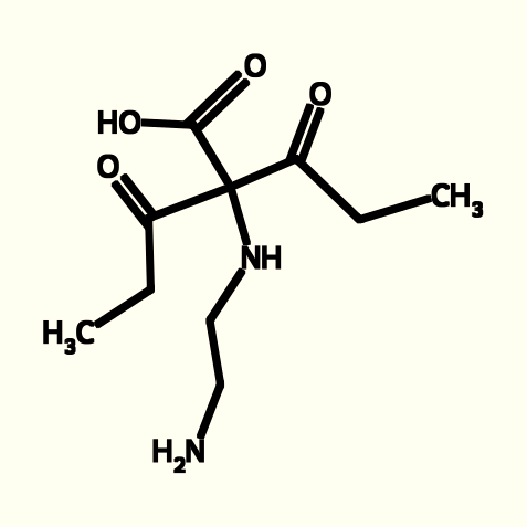 CCC(=O)C(NCCN)(C(=O)O)C(=O)CC